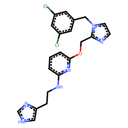 Clc1cc(Cl)cc(Cn2ccnc2COc2cccc(NCCc3c[nH]cn3)n2)c1